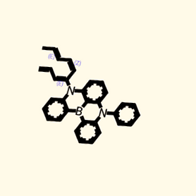 C=C\C=C(/C=C\C=C\C)N1c2ccccc2B2c3ccccc3N(c3ccccc3)c3cccc1c32